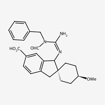 CO[C@H]1CC[C@]2(CC1)Cc1ccc(C(=O)O)cc1C2/N=C(/N)N(C=O)Cc1ccccc1